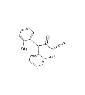 C=C=CC(=O)C(c1ccccc1O)c1ccccc1O